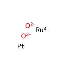 [O-2].[O-2].[Pt].[Ru+4]